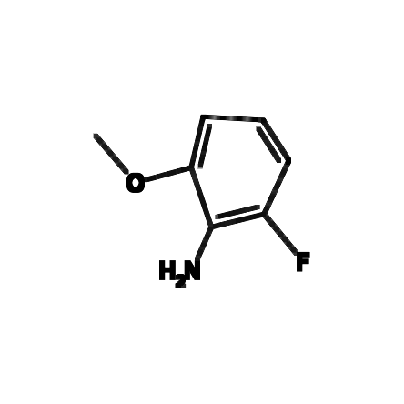 COc1cccc(F)c1N